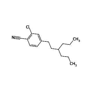 CCCC(CCC)CCc1ccc(C#N)c(Cl)c1